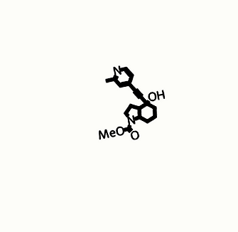 COC(=O)N1CCC2C1CCCC2(O)C#Cc1ccnc(C)c1